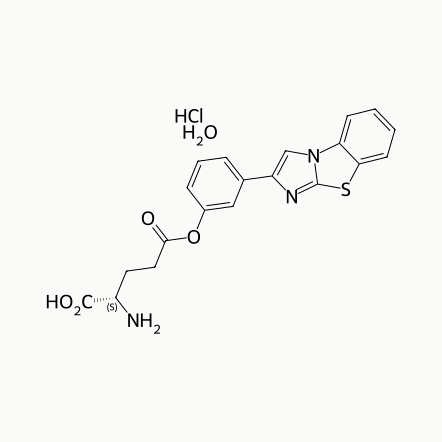 Cl.N[C@@H](CCC(=O)Oc1cccc(-c2cn3c(n2)sc2ccccc23)c1)C(=O)O.O